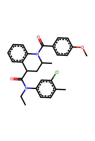 CCN(C(=O)C1CC(C)N(C(=O)c2ccc(OC)cc2)c2ccccc21)c1ccc(C)c(Cl)c1